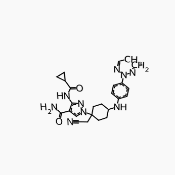 C=NN(/N=C\C)c1ccc(NC2CCC(CC#N)(n3cc(C(N)=O)c(NC(=O)C4CC4)n3)CC2)cc1